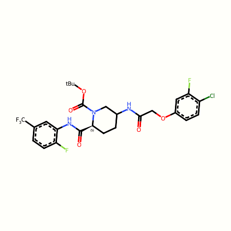 CC(C)(C)OC(=O)N1CC(NC(=O)COc2ccc(Cl)c(F)c2)CC[C@H]1C(=O)Nc1cc(C(F)(F)F)ccc1F